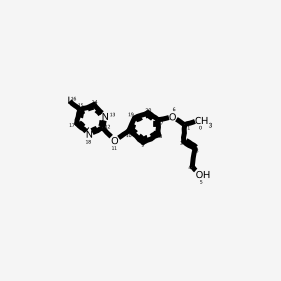 CC(C=CCO)Oc1ccc(Oc2ncc(I)cn2)cc1